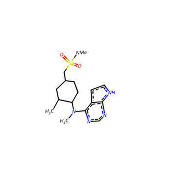 CNS(=O)(=O)CC1CCC(N(C)c2ncnc3[nH]ccc23)C(C)C1